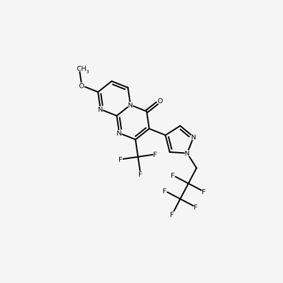 COc1ccn2c(=O)c(-c3cnn(CC(F)(F)C(F)(F)F)c3)c(C(F)(F)F)nc2n1